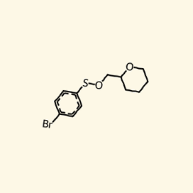 Brc1ccc(SOCC2CCCCO2)cc1